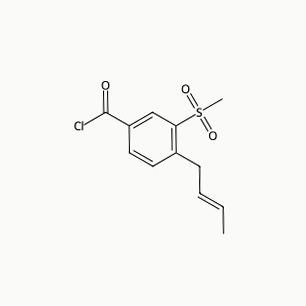 C/C=C/Cc1ccc(C(=O)Cl)cc1S(C)(=O)=O